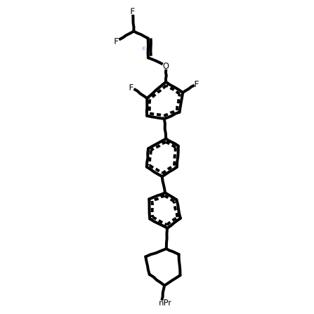 CCCC1CCC(c2ccc(-c3ccc(-c4cc(F)c(O/C=C/C(F)F)c(F)c4)cc3)cc2)CC1